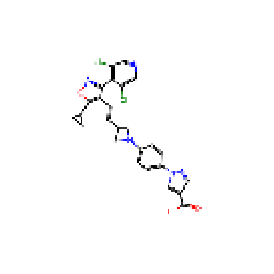 O=C(O)c1cnn(-c2ccc(N3CC(/C=C/c4c(-c5c(Cl)cncc5Cl)noc4C4CC4)C3)cc2)c1